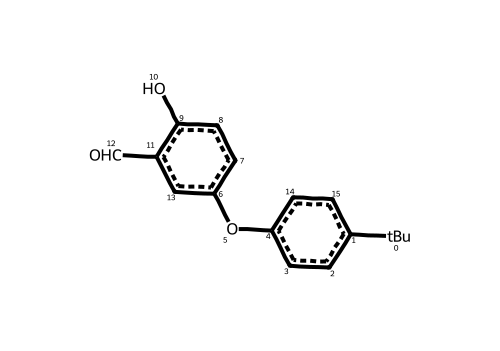 CC(C)(C)c1ccc(Oc2ccc(O)c(C=O)c2)cc1